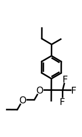 CCOCOC(C)(c1ccc(C(C)CC)cc1)C(F)(F)F